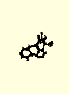 CCCCCNN1C2=C(CC3=CC=COC3=C2)NC(C)(C)C1O